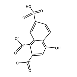 O=[N+]([O-])c1cc(O)c2ccc(S(=O)(=O)O)cc2c1[N+](=O)[O-]